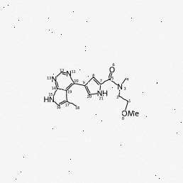 COCCN(C)C(=O)c1cc(-c2ncnc3[nH]cc(C)c23)c[nH]1